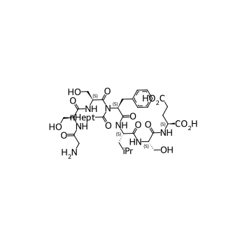 CCCCCCCC(=O)N(C(=O)[C@H](CO)NC(=O)[C@H](CO)NC(=O)CN)[C@@H](Cc1ccccc1)C(=O)N[C@@H](CC(C)C)C(=O)N[C@@H](CO)C(=O)N[C@@H](CCC(=O)O)C(=O)O